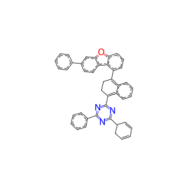 C1=CCC(c2nc(C3=c4ccccc4=C(c4cccc5oc6cc(-c7ccccc7)ccc6c45)CC3)nc(-c3ccccc3)n2)C=C1